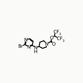 O=C(OC(C(F)(F)F)C(F)(F)F)N1CCC(Nc2ccnc(Br)n2)CC1